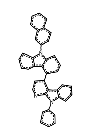 c1ccc(-n2c3ccccc3c3c(-c4cccc5c4c4ccccc4n5-c4ccc5ccccc5c4)ccnc32)cc1